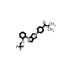 CN(C)C(=O)c1ccc(N2Cc3cnn(-c4ccccc4OCC(F)(F)F)c3C2)cc1